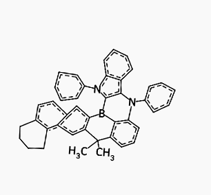 CC1(C)c2cc3c4c(ccc3cc2B2c3c(cccc31)N(c1ccccc1)c1c2n(-c2ccccc2)c2ccccc12)CCCC4